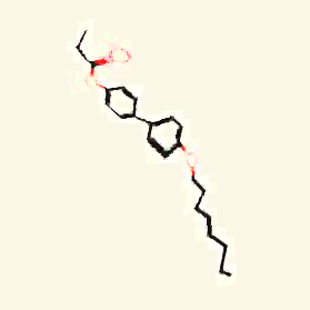 CCCCCCCCOc1ccc(-c2ccc(OC(=O)CC)cc2)cc1